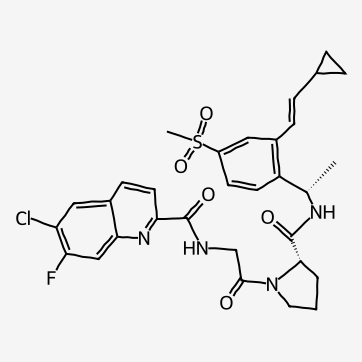 C[C@H](NC(=O)[C@@H]1CCCN1C(=O)CNC(=O)c1ccc2cc(Cl)c(F)cc2n1)c1ccc(S(C)(=O)=O)cc1/C=C/C1CC1